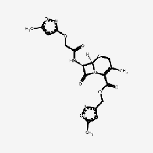 CC1=C(C(=O)OCc2cc(C)on2)N2C(=O)[C@@H](NC(=O)COc3cc(C)on3)[C@H]2SC1